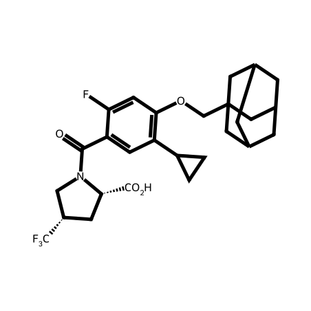 O=C(O)[C@@H]1C[C@H](C(F)(F)F)CN1C(=O)c1cc(C2CC2)c(OCC23CC4CC(CC(C4)C2)C3)cc1F